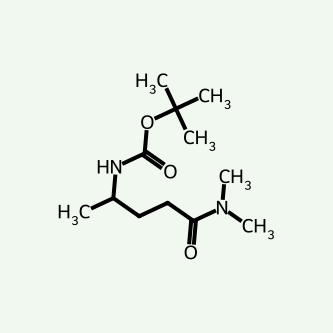 CC(CCC(=O)N(C)C)NC(=O)OC(C)(C)C